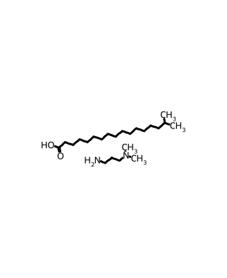 CC(C)CCCCCCCCCCCCCCC(=O)O.CN(C)CCCN